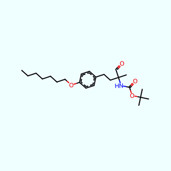 CCCCCCCOc1ccc(CCC(C)(C=O)NC(=O)OC(C)(C)C)cc1